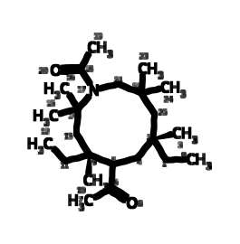 CC[C@]1(C)CC(C(C)=O)[C@](C)(CC)CC(C)(C)N(C(C)=O)CC(C)(C)C1